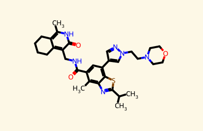 Cc1[nH]c(=O)c(CNC(=O)c2cc(-c3cnn(CCN4CCOCC4)c3)c3sc(C(C)C)nc3c2C)c2c1CCCC2